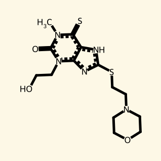 Cn1c(=S)c2[nH]c(SCCN3CCOCC3)nc2n(CCO)c1=O